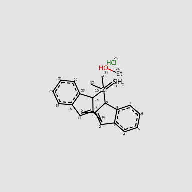 CC1=Cc2ccccc2[CH]1[Zr]([CH3])([CH3])(=[SiH2])[CH]1C(C)=Cc2ccccc21.CCO.Cl